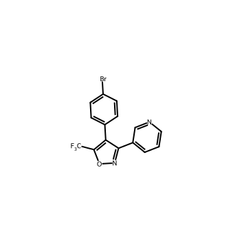 FC(F)(F)c1onc(-c2cccnc2)c1-c1ccc(Br)cc1